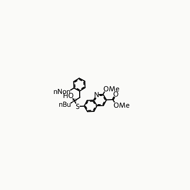 CCCCCCCCCc1ccccc1C[C@](O)(CCCC)Sc1ccc2cc(C(=O)OC)c(OC)nc2c1